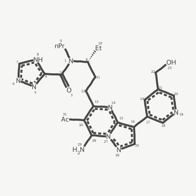 CCCN(C(=O)c1nnc[nH]1)[C@H](CC)CCc1nc2c(-c3cncc(CO)c3)cnn2c(N)c1C(C)=O